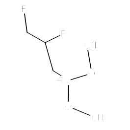 CO[SiH](CC(F)CF)OC